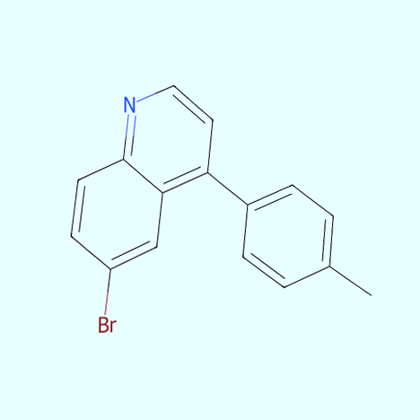 Cc1ccc(-c2ccnc3ccc(Br)cc23)cc1